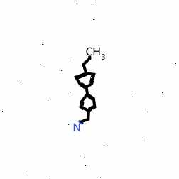 CCCc1ccc(-c2ccc(CC#N)cc2)cc1